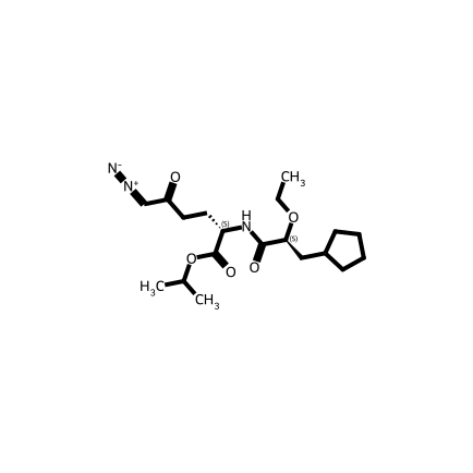 CCO[C@@H](CC1CCCC1)C(=O)N[C@@H](CCC(=O)C=[N+]=[N-])C(=O)OC(C)C